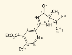 CCOC(=O)c1cc(C2=NC(=O)C(C)(C(C)F)N2)ncc1CC